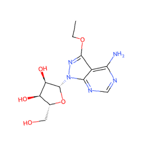 CCOc1nn([C@@H]2O[C@H](CO)[C@@H](O)[C@H]2O)c2ncnc(N)c12